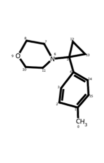 Cc1ccc(C2(N3CCOCC3)CC2)cc1